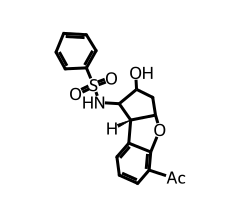 CC(=O)c1cccc2c1OC1CC(O)C(NS(=O)(=O)c3ccccc3)[C@@H]21